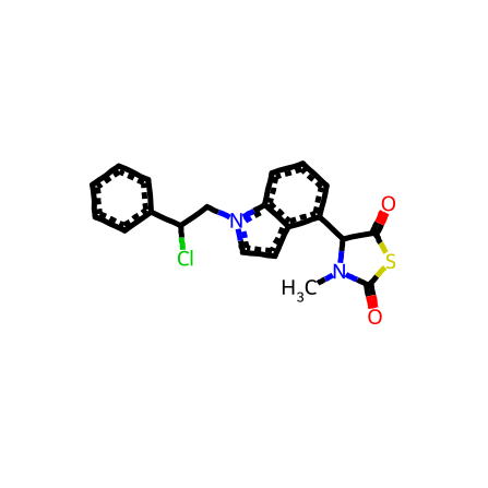 CN1C(=O)SC(=O)C1c1cccc2c1ccn2CC(Cl)c1ccccc1